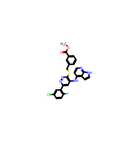 COC(=O)c1cccc(CSc2nnc(-c3cc(Cl)ccc3F)cc2Nc2ccnc3[nH]ccc23)c1